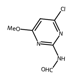 COc1cc(Cl)nc(NC=O)n1